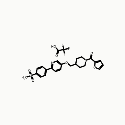 CS(=O)(=O)c1ccc(-c2ccc(OCC3CCN(C(=O)c4ccco4)CC3)cn2)cc1.O=C(O)C(F)(F)F